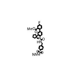 CNS(=O)(=O)c1ccc(CNC(=O)N2CC3(CCCC3)c3cc(-c4ccc(F)cc4C(=O)OC)ccc32)cc1